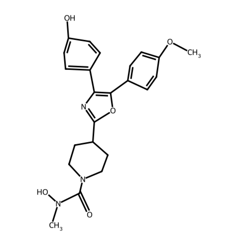 COc1ccc(-c2oc(C3CCN(C(=O)N(C)O)CC3)nc2-c2ccc(O)cc2)cc1